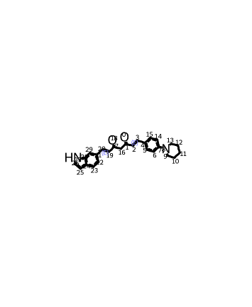 O=C(/C=C/c1ccc(N2CCCCC2)cc1)CC(=O)/C=C/c1ccc2cc[nH]c2c1